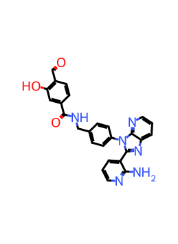 Nc1ncccc1-c1nc2cccnc2n1-c1ccc(CNC(=O)c2ccc(C=O)c(O)c2)cc1